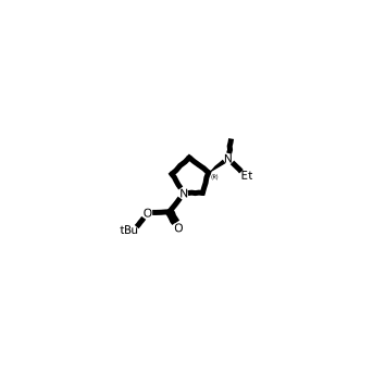 CCN(C)[C@@H]1CCN(C(=O)OC(C)(C)C)C1